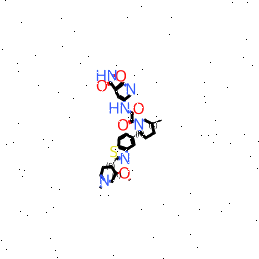 CO[C@H]1CN(C)CC[C@@H]1c1nc2cc([C@H]3CC[C@H](C)CN3C(=O)C(=O)Nc3cnc4o[nH]c(=O)c4c3)ccc2s1